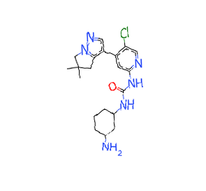 CC1(C)Cc2c(-c3cc(NC(=O)NC4CCCC(N)C4)ncc3Cl)cnn2C1